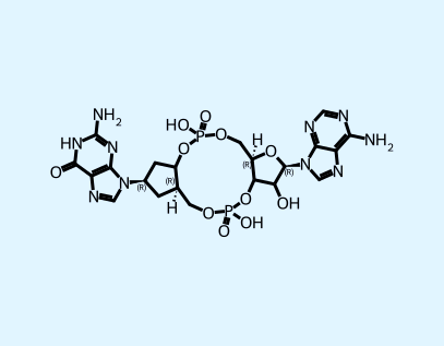 Nc1nc2c(ncn2[C@H]2CC3OP(=O)(O)OC[C@H]4O[C@@H](n5cnc6c(N)ncnc65)C(O)C4OP(=O)(O)OC[C@H]3C2)c(=O)[nH]1